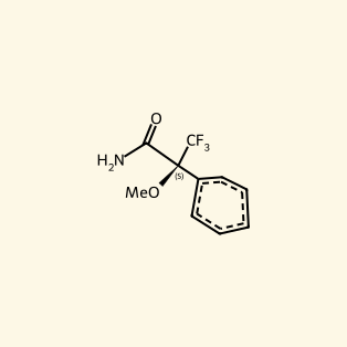 CO[C@](C(N)=O)(c1ccccc1)C(F)(F)F